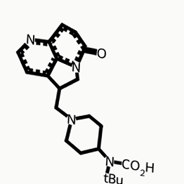 CC(C)(C)N(C(=O)O)C1CCN(CC2Cn3c(=O)ccc4nccc2c43)CC1